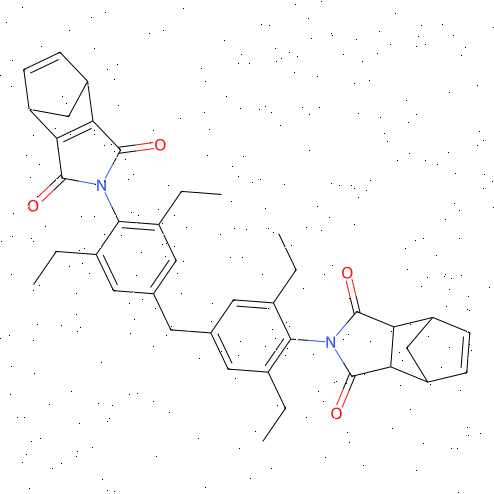 CCc1cc(Cc2cc(CC)c(N3C(=O)C4C5C=CC(C5)C4C3=O)c(CC)c2)cc(CC)c1N1C(=O)C2=C(C1=O)C1C=CC2C1